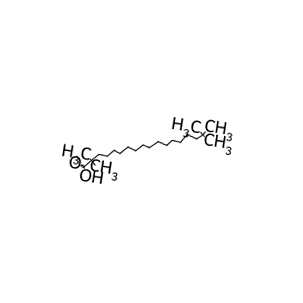 CC(C)(C)CCCCCCCCCCCCCCC(C)(C)C(=O)O